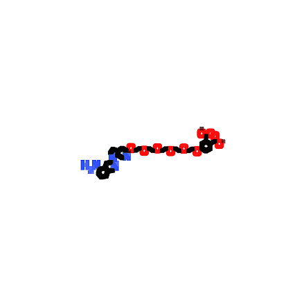 COC(=O)c1ccc(OCCOCCOCCOCCOCCOc2cc3ccn(-c4cc5c(N)cccc5cn4)c3cn2)cc1C(=O)OC